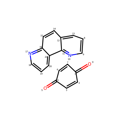 O=C1C=CC(=O)C=C1.c1cnc2c(c1)ccc1ncccc12